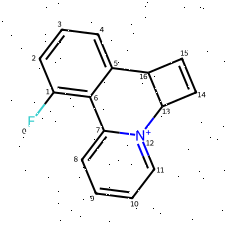 Fc1cccc2c1-c1cccc[n+]1C1C=CC21